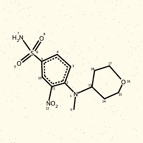 CN(c1ccc(S(N)(=O)=O)cc1[N+](=O)[O-])C1CCOCC1